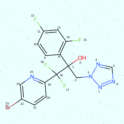 OC(Cn1ncnn1)(c1ccc(F)cc1F)C(F)(F)c1ccc(Br)cn1